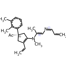 C=C/C=N\C=C(/C)N(C)C1=C(C=C)C[C@@](C(C)=O)(c2cccc(C)c2C)C1